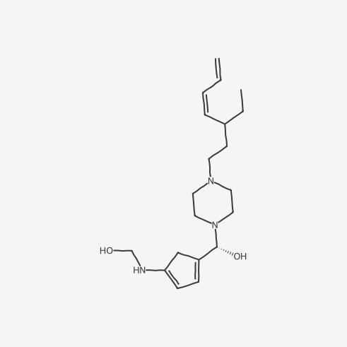 C=C/C=C\C(CC)CCN1CCN([C@H](O)C2=CC=C(NCO)C2)CC1